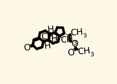 CC(=O)OCC(C)[C@H]1CC[C@H]2[C@@H]3CCC4=CC(=O)CC[C@]4(C)[C@H]3CC[C@]12C